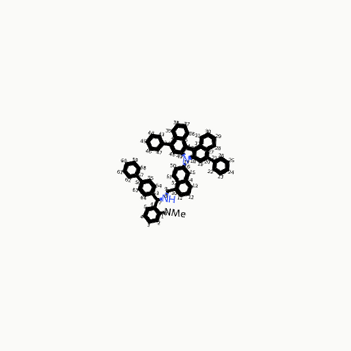 CNc1ccccc1C(NCc1cccc2cc(-n3c4cc(-c5ccccc5)c5ccccc5c4c4c5ccccc5c(-c5ccccc5)cc43)ccc12)c1ccc(-c2ccccc2)cc1